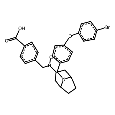 CN(Cc1ccc(C(=O)O)cc1)C1CC2CCC(C1)N2Cc1ccc(Oc2ccc(Br)cc2)cc1